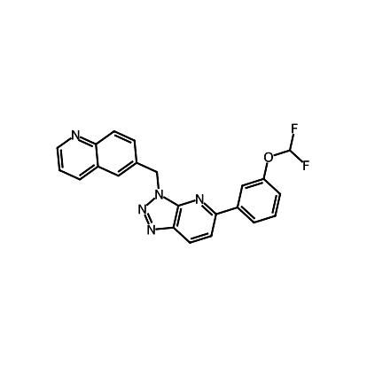 FC(F)Oc1cccc(-c2ccc3nnn(Cc4ccc5ncccc5c4)c3n2)c1